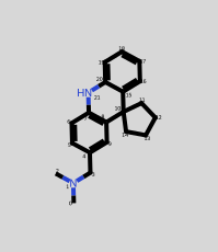 CN(C)Cc1ccc2c(c1)C1(CCCC1)c1ccccc1N2